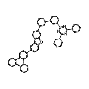 C1=CCC(c2nc(-c3ccccc3)nc(-c3cccc(-c4cccc(-c5ccc6c(c5)oc5ccc(-c7ccc8c9ccccc9c9ccccc9c8c7)cc56)c4)c3)n2)C=C1